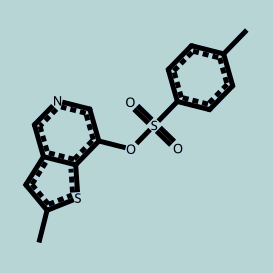 Cc1ccc(S(=O)(=O)Oc2cncc3cc(C)sc23)cc1